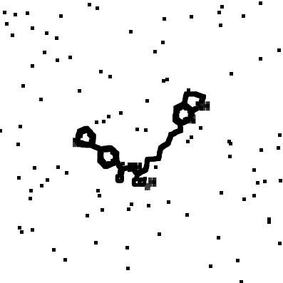 O=C(N[C@@H](CCCCCCCc1ccc2c(n1)NCCC2)C(=O)O)c1ccc(-c2cccnc2)cc1